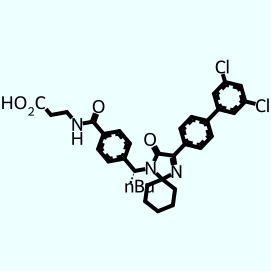 CCCC[C@H](c1ccc(C(=O)NCCC(=O)O)cc1)N1C(=O)C(c2ccc(-c3cc(Cl)cc(Cl)c3)cc2)=NC12CCCCC2